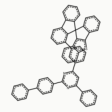 c1ccc(-c2ccc(-c3nc(-c4ccccc4)cc(-c4cccc(-c5cccc6c5C5(c7ccccc7-6)c6ccccc6-c6sc7ccccc7c65)c4)n3)cc2)cc1